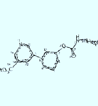 CCCCCCCNC(=O)Oc1cccc(-c2cncc(C(=O)OCC)c2)c1